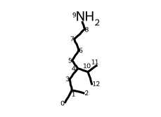 CC(C)CC(CCCCN)C(C)C